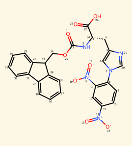 O=C(N[C@@H](Cc1cn(-c2ccc([N+](=O)[O-])cc2[N+](=O)[O-])cn1)C(=O)O)OCC1c2ccccc2-c2ccccc21